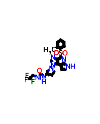 Cc1ccccc1S(=O)(=O)c1nc2[nH]ccc2c2c1ncn2N1CC[C@@H](NC(=O)NCC(F)(F)F)C1